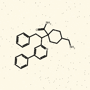 NCC1CCC(C(N)=O)(C(Cc2ccccc2)c2cc(-c3ccccc3)ccn2)CC1